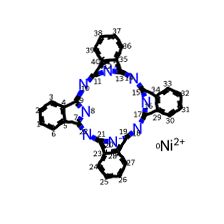 [Ni+2].c1ccc2c(c1)-c1nc-2nc2[n-]c(nc3nc(nc4[n-]c(n1)c1ccccc41)-c1ccccc1-3)c1ccccc21